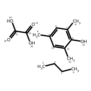 CCCC.Cc1cc(C)c(O)c(C)c1.O=C(O)C(=O)O